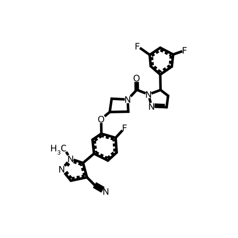 Cn1ncc(C#N)c1-c1ccc(F)c(OC2CN(C(=O)N3N=CCC3c3cc(F)cc(F)c3)C2)c1